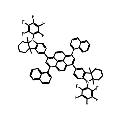 CC12CCCCC1(C)N(c1c(F)c(F)c(F)c(F)c1F)c1ccc(-c3cc(-c4cccc5ccccc45)c4ccc5c(-c6ccc7c(c6)C6(C)CCCCC6(C)N7c6c(F)c(F)c(F)c(F)c6F)cc(-c6cccc7ccccc67)c6ccc3c4c56)cc12